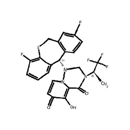 C[C@@H](N1CN([C@H]2c3ccc(F)cc3CSc3c(F)cccc32)n2ccc(=O)c(O)c2C1=O)C(F)(F)F